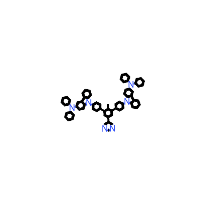 Cc1c(-c2ccc(-n3c4ccccc4c4cc(N(c5ccccc5)c5ccccc5)ccc43)cc2)cc(-c2cncnc2)cc1-c1ccc(-n2c3ccccc3c3cc(N(c4ccccc4)c4ccccc4)ccc32)cc1